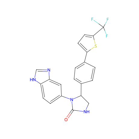 O=C1NCC(c2ccc(-c3ccc(C(F)(F)F)s3)cc2)N1c1ccc2[nH]cnc2c1